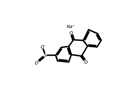 O=C1c2ccccc2C(=O)c2cc(S(=O)[O-])ccc21.[Na+]